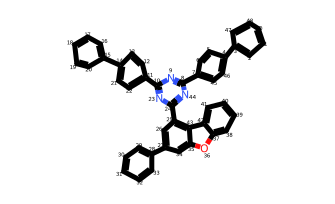 c1ccc(-c2ccc(-c3nc(-c4ccc(-c5ccccc5)cc4)nc(-c4cc(-c5ccccc5)cc5oc6ccccc6c45)n3)cc2)cc1